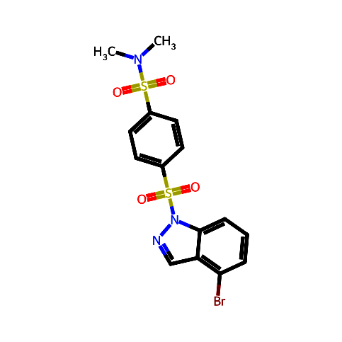 CN(C)S(=O)(=O)c1ccc(S(=O)(=O)n2ncc3c(Br)cccc32)cc1